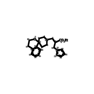 CCOC(=O)C(CN1CCC2(CC1)OCCc1ccccc12)Cn1cccn1